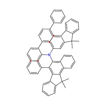 CC1(C)c2ccccc2-c2ccc(N(c3ccccc3-c3ccc(-c4ccccc4)cc3)c3c(-c4ccccc4)c4c(c5ccccc35)C(C)(C)c3ccccc3-4)cc21